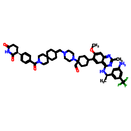 COc1cc2nc(C)nc(N[C@H](C)c3cc(N)cc(C(F)(F)F)c3)c2cc1C1CCC(C=O)(N2CCN(CC3CCC4(CC3)CCN(C(=O)c3ccc([C@H]5CCC(=O)NC5=O)cc3)CC4)CC2)CC1